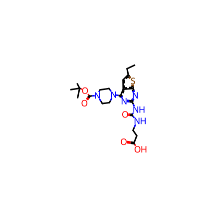 CCc1cc2c(N3CCN(C(=O)OC(C)(C)C)CC3)nc(NC(=O)NCCC(=O)O)nc2s1